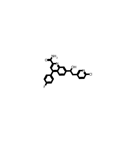 NC(=O)c1cc(-c2ccc(F)cc2)c2ccc(C(O)Cc3ccc(Cl)nc3)cc2n1